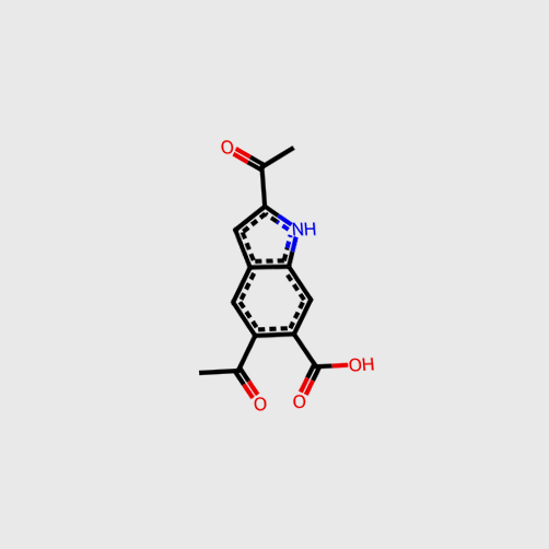 CC(=O)c1cc2cc(C(C)=O)c(C(=O)O)cc2[nH]1